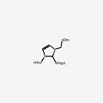 CCCCCCCCCCCN1C=CN(CCCCCC)C1CCCCCCC